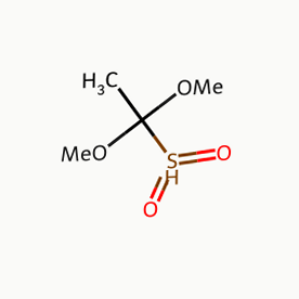 COC(C)(OC)[SH](=O)=O